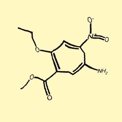 CCOc1cc([N+](=O)[O-])c(N)cc1C(=O)OC